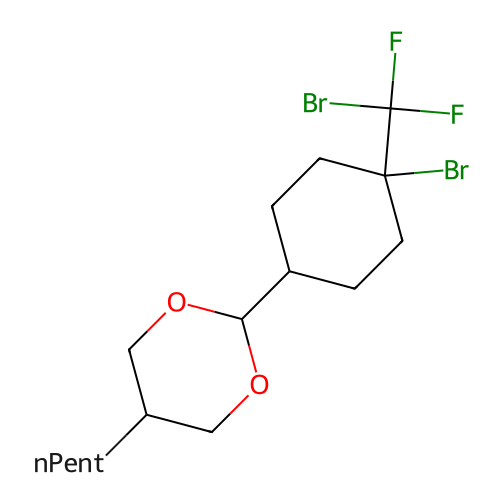 CCCCCC1COC(C2CCC(Br)(C(F)(F)Br)CC2)OC1